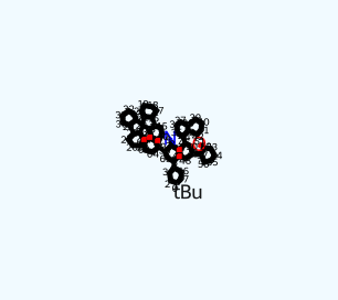 CC(C)(C)c1ccc(-c2ccc(N(c3ccc4c(c3)-c3ccccc3C43c4ccccc4-c4ccccc43)c3ccc4ccccc4c3-c3cccc4c3oc3ccccc34)c(-c3ccccc3)c2)cc1